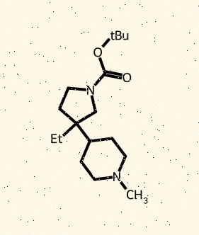 CCC1(C2CCN(C)CC2)CCN(C(=O)OC(C)(C)C)C1